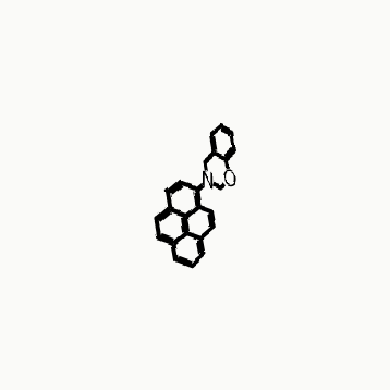 c1ccc2c(c1)CN(c1ccc3ccc4cccc5ccc1c3c45)CO2